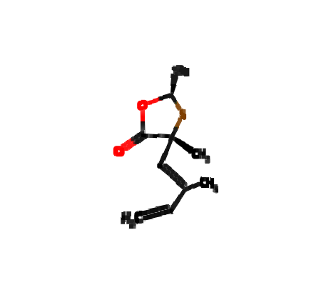 C=C/C(C)=C/[C@@]1(C)S[C@H](C(C)(C)C)OC1=O